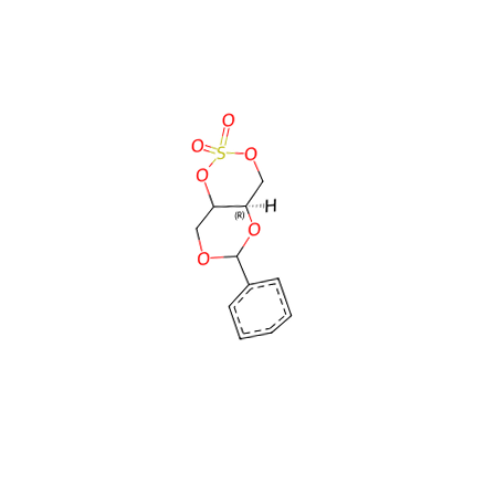 O=S1(=O)OC[C@H]2OC(c3ccccc3)OCC2O1